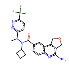 CC(c1ccc(C(F)(F)F)nn1)N(C(=O)c1ccc2nc(N)c3c(c2c1)COC3)C1CCC1